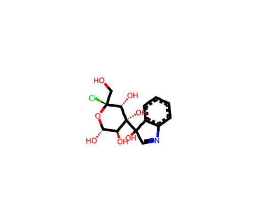 OC[C@@]1(Cl)O[C@@H](O)[C@H](O)[C@](O)(C2(O)C=Nc3ccccc32)[C@H]1O